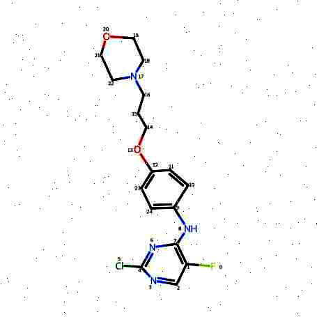 Fc1cnc(Cl)nc1Nc1ccc(OCCCN2CCOCC2)cc1